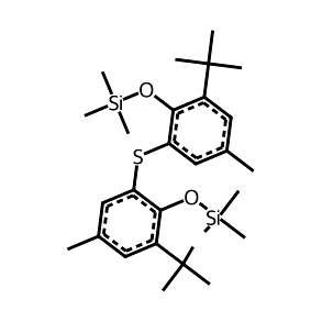 Cc1cc(Sc2cc(C)cc(C(C)(C)C)c2O[Si](C)(C)C)c(O[Si](C)(C)C)c(C(C)(C)C)c1